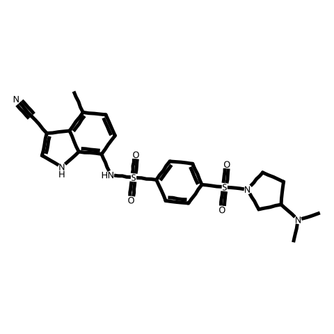 Cc1ccc(NS(=O)(=O)c2ccc(S(=O)(=O)N3CCC(N(C)C)C3)cc2)c2[nH]cc(C#N)c12